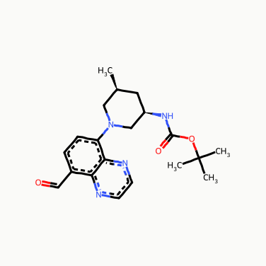 C[C@H]1C[C@@H](NC(=O)OC(C)(C)C)CN(c2ccc(C=O)c3nccnc23)C1